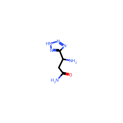 NC(=O)CC(N)c1nn[nH]n1